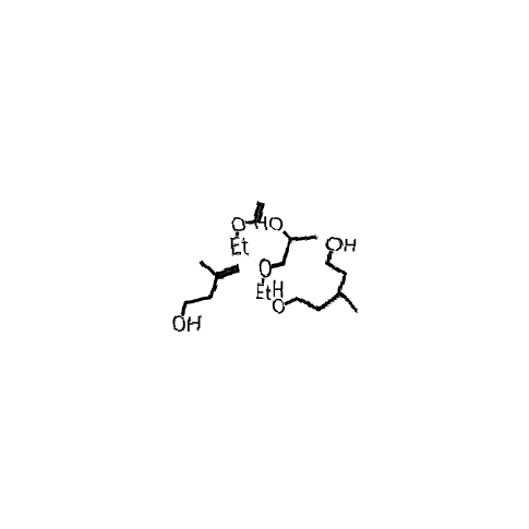 C=C(C)CCO.C=COCC.CC(CCO)CCO.CCOCC(C)O